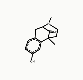 CN1CCC2(C)C(=N)C1Cc1ccc(O)cc12